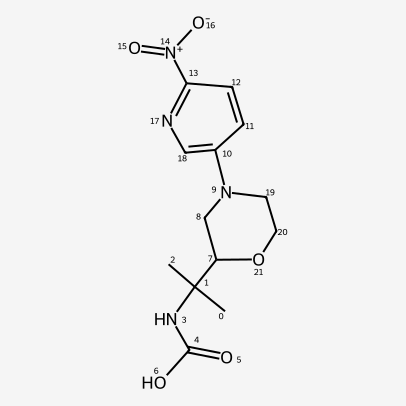 CC(C)(NC(=O)O)C1CN(c2ccc([N+](=O)[O-])nc2)CCO1